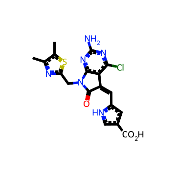 Cc1nc(CN2C(=O)C(=Cc3cc(C(=O)O)c[nH]3)c3c(Cl)nc(N)nc32)sc1C